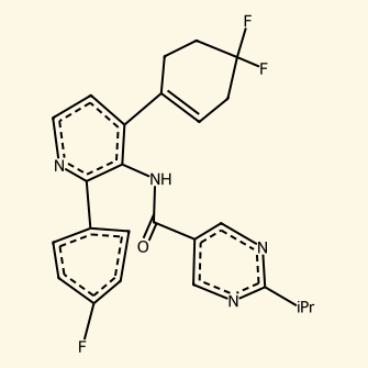 CC(C)c1ncc(C(=O)Nc2c(C3=CCC(F)(F)CC3)ccnc2-c2ccc(F)cc2)cn1